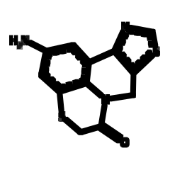 Nc1cc2c3c(c1)-c1ncsc1CN3C(=O)CS2